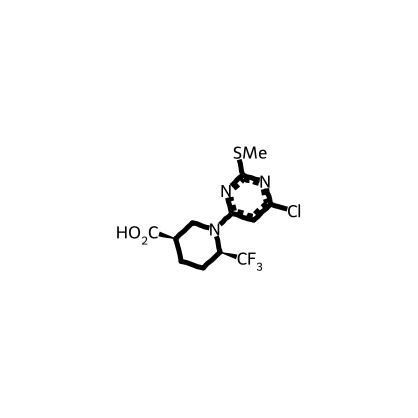 CSc1nc(Cl)cc(N2C[C@H](C(=O)O)CC[C@@H]2C(F)(F)F)n1